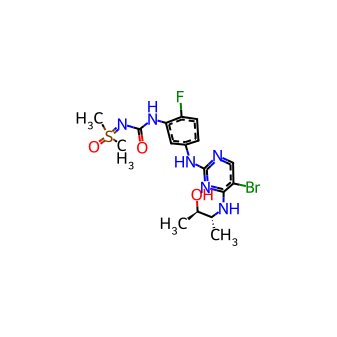 C[C@@H](O)[C@@H](C)Nc1nc(Nc2ccc(F)c(NC(=O)N=S(C)(C)=O)c2)ncc1Br